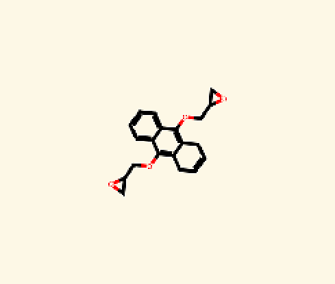 C1=CCc2c(c(OCC3CO3)c3ccccc3c2OCC2CO2)C1